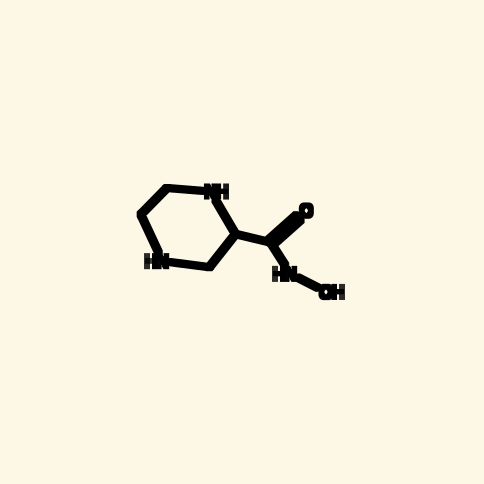 O=C(NO)C1CNCCN1